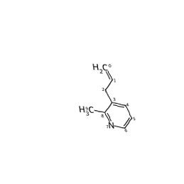 C=C[CH]c1cccnc1C